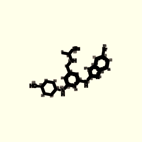 CC(NCc1cc(Nc2nc3ccc(Br)cc3s2)nc(N[C@H]2CC[C@H](O)CC2)c1)C(C)(C)C